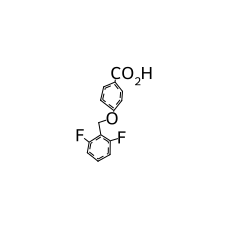 O=C(O)c1ccc(OCc2c(F)cccc2F)cc1